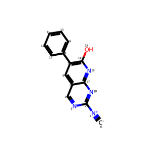 [C-]#[N+]c1ncc2cc(-c3ccccc3)c(O)nc2n1